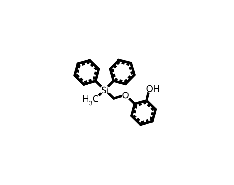 C[Si](COc1ccccc1O)(c1ccccc1)c1ccccc1